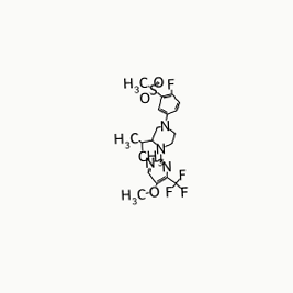 COc1cnc(N2CCN(c3ccc(F)c(S(C)(=O)=O)c3)CC2C(C)C)nc1C(F)(F)F